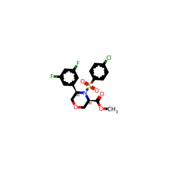 COC(=O)[C@H]1COC[C@@H](c2cc(F)cc(F)c2)N1S(=O)(=O)c1ccc(Cl)cc1